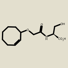 O=C(COC1/C=C\CCCCC1)N[C@@H](CO)C(=O)O